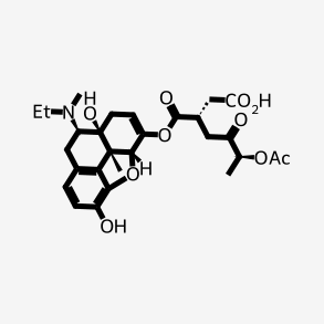 CCN(C)[C@@H]1Cc2ccc(O)c3c2[C@@]2(C)[C@@H](O3)C(OC(=O)[C@H](CC(=O)O)CC(=O)[C@H](C)OC(C)=O)=CC[C@@]12O